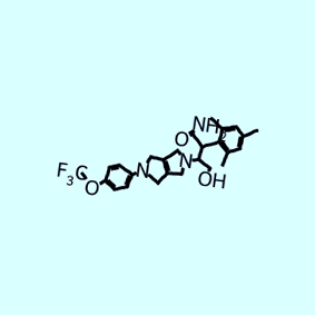 Cc1cc(C)c(C(C(N)=O)C(CO)N2CC3=C(CN(c4ccc(OC(F)(F)F)cc4)C3)C2)c(C)c1